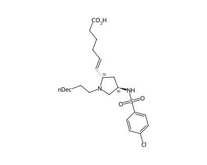 CCCCCCCCCCCCN1C[C@H](NS(=O)(=O)c2ccc(Cl)cc2)C[C@H]1C=CCCCC(=O)O